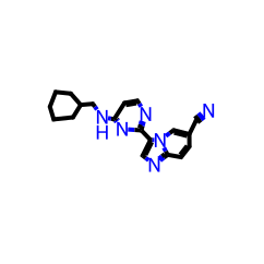 N#Cc1ccc2ncc(-c3nccc(NCC4CCCCC4)n3)n2c1